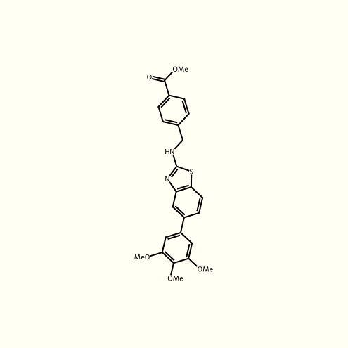 COC(=O)c1ccc(CNc2nc3cc(-c4cc(OC)c(OC)c(OC)c4)ccc3s2)cc1